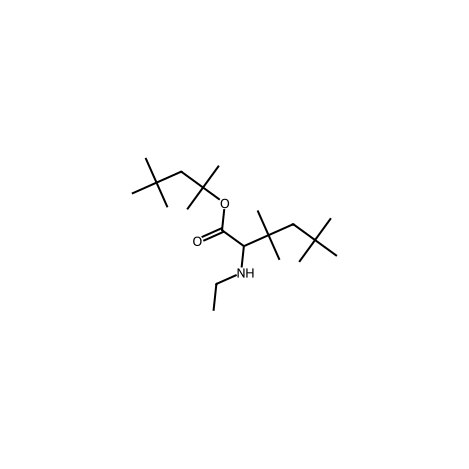 CCNC(C(=O)OC(C)(C)CC(C)(C)C)C(C)(C)CC(C)(C)C